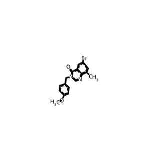 COc1ccc(Cn2cnc3c(C)cc(Br)cc3c2=O)cc1